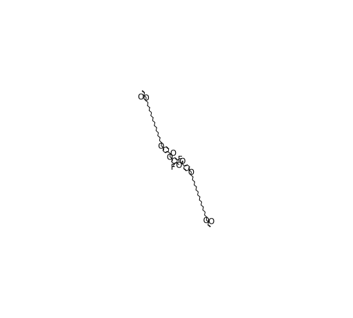 C=CC(=O)OCCCCCCCCCCCCCCCCCCOc1ccc(C(=O)Oc2cc(F)c(OC(=O)c3ccc(OCCCCCCCCCCCCCCCCCCOC(=O)C=C)cc3)c(F)c2)cc1